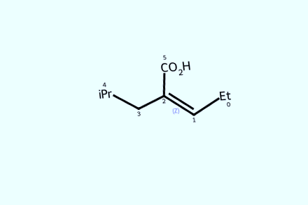 CC/C=C(/CC(C)C)C(=O)O